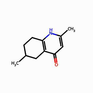 Cc1cc(=O)c2c([nH]1)CCC(C)C2